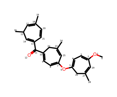 COC1=CC=C(OC2=CC=C(C(=O)C3=CC(C)C=C(C)C=C3)CC(C)=C2)CC(C)=C1